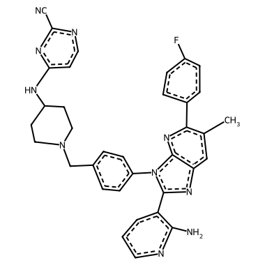 Cc1cc2nc(-c3cccnc3N)n(-c3ccc(CN4CCC(Nc5ccnc(C#N)n5)CC4)cc3)c2nc1-c1ccc(F)cc1